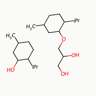 CC1CCC(C(C)C)C(O)C1.CC1CCC(C(C)C)C(OCC(O)CO)C1